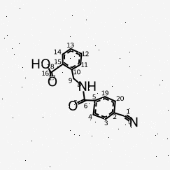 N#Cc1ccc(C(=O)NCc2ccccc2C(=O)O)cc1